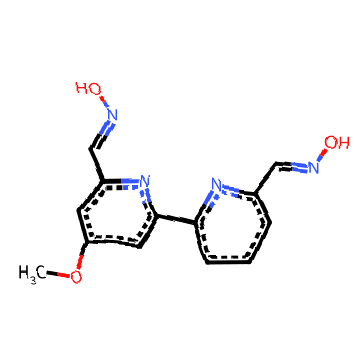 COc1cc(C=NO)nc(-c2cccc(C=NO)n2)c1